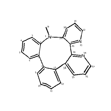 Cn1c2ccccc2c2ccccc2c2cccnc2c2ncccc21